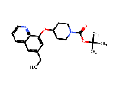 CCc1cc(OC2CCN(C(=O)OC(C)(C)C)CC2)c2ncccc2c1